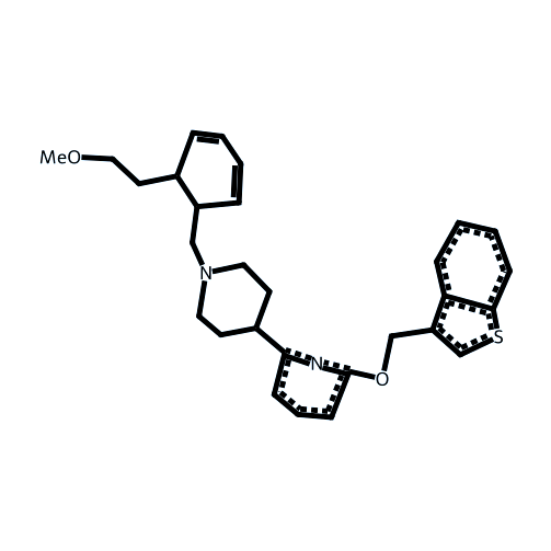 COCCC1C=CC=CC1CN1CCC(c2cccc(OCc3csc4ccccc34)n2)CC1